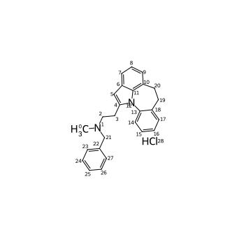 CN(CCc1cc2cccc3c2n1-c1ccccc1CC3)Cc1ccccc1.Cl